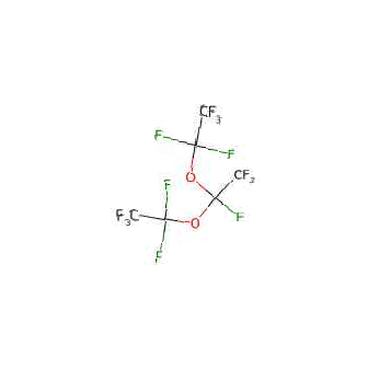 FC(F)(F)C(F)(F)OC(F)(OC(F)(F)C(F)(F)F)C(F)(F)F